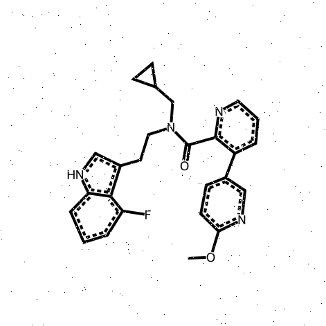 COc1ccc(-c2cccnc2C(=O)N(CCc2c[nH]c3cccc(F)c23)CC2CC2)cn1